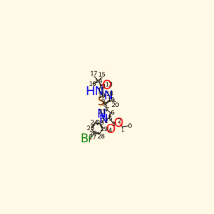 CCOC(=O)c1cc(-c2sc(NC(=O)C(C)(C)C)nc2C)nn1-c1ccc(Br)cc1